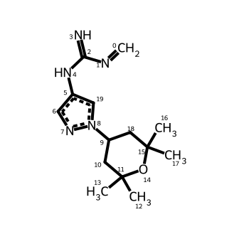 C=NC(=N)Nc1cnn(C2CC(C)(C)OC(C)(C)C2)c1